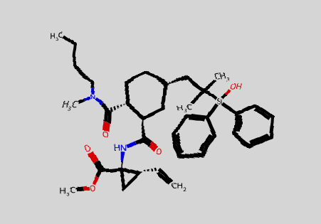 C=C[C@@H]1C[C@]1(NC(=O)[C@@H]1C[C@H](CC(C)(C)[Si](O)(c2ccccc2)c2ccccc2)CC[C@H]1C(=O)N(C)CCCC)C(=O)OC